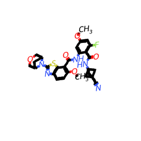 COc1cc(F)c(C(=O)NC23CC(C#N)(C2)C3)c(NC(=O)c2c(OC)ccc3nc(N4C5COCC4C5)sc23)c1